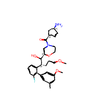 COCCC[C@H](c1cccc(F)c1-c1cc(C)cc(OC)c1)C(O)[C@H]1CN(C(=O)[C@@H]2CC[C@H](N)C2)CCO1